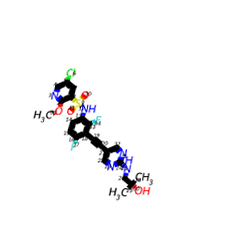 COc1ncc(Cl)cc1S(=O)(=O)Nc1ccc(F)c(C#Cc2cnc(NCC(C)(C)O)nc2)c1F